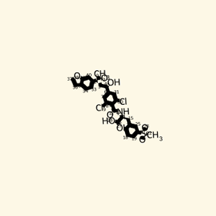 CP(=O)(CC(O)c1cc(Cl)c(C(=O)N[C@@H](Cc2cccc(S(C)(=O)=O)c2)C(O)O)c(Cl)c1)c1ccc2ccoc2c1